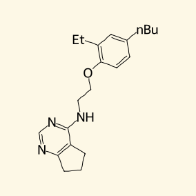 CCCCc1ccc(OCCNc2ncnc3c2CCC3)c(CC)c1